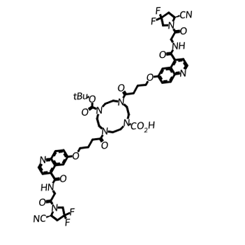 CC(C)(C)OC(=O)N1CCN(C(=O)CCCOc2ccc3nccc(C(=O)NCC(=O)N4CC(F)(F)C[C@H]4C#N)c3c2)CCN(C(=O)O)CCN(C(=O)CCCOc2ccc3nccc(C(=O)NCC(=O)N4CC(F)(F)C[C@H]4C#N)c3c2)CC1